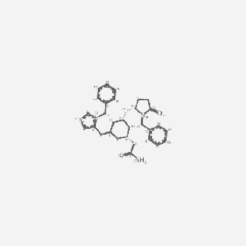 NC(=O)C[C@@H]1CC(Cc2cncn2Cc2ccccc2)C[C@H](C[C@@H]2CCC(=O)N2Cc2ccccc2)C1